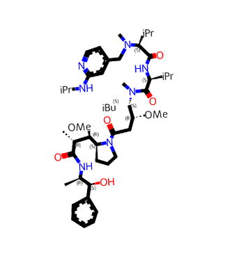 CC[C@H](C)[C@@H]([C@@H](CC(=O)N1CCC[C@H]1[C@H](OC)[C@@H](C)C(=O)N[C@H](C)[C@@H](O)c1ccccc1)OC)N(C)C(=O)[C@@H](NC(=O)[C@H](C(C)C)N(C)Cc1ccnc(NC(C)C)c1)C(C)C